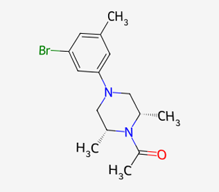 CC(=O)N1[C@H](C)CN(c2cc(C)cc(Br)c2)C[C@@H]1C